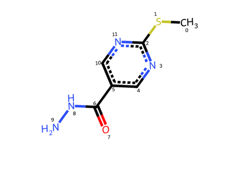 CSc1ncc(C(=O)NN)cn1